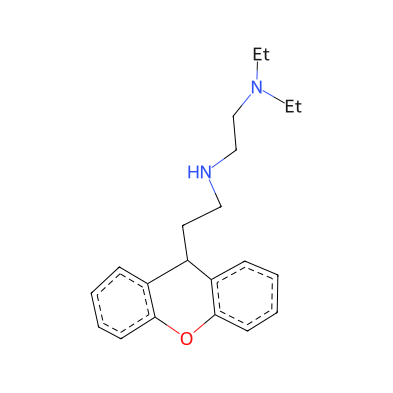 CCN(CC)CCNCCC1c2ccccc2Oc2ccccc21